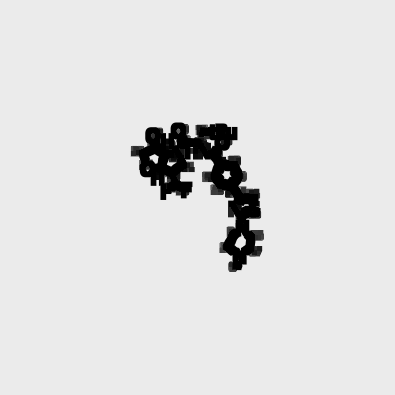 CN1CCN(c2nc(-c3ccc(C(=O)N[C@@H](CC(C)(C)C)C(=O)N4C[C@@H](C(F)F)[C@H]5OCC(=O)[C@H]54)cc3)cs2)CC1